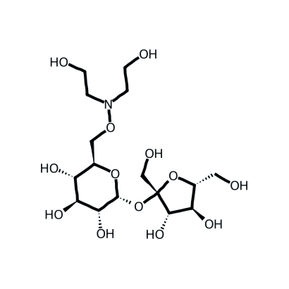 OCCN(CCO)OC[C@H]1O[C@H](O[C@]2(CO)O[C@H](CO)[C@@H](O)[C@@H]2O)[C@H](O)[C@@H](O)[C@@H]1O